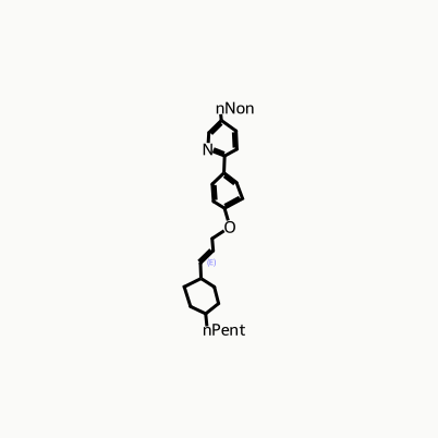 CCCCCCCCCc1ccc(-c2ccc(OC/C=C/C3CCC(CCCCC)CC3)cc2)nc1